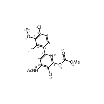 CCOc1c(Cl)ccc(-c2cc(NC(C)=O)c(Cl)c(OC(=O)OC)n2)c1F